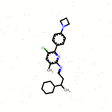 Cc1cc(Cl)c(-c2ccc(N3CCC3)cc2)nc1/N=C/CC(C)C1CCCCC1